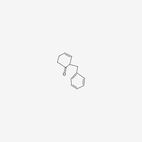 O=C1CCC=CC1Cc1ccccc1